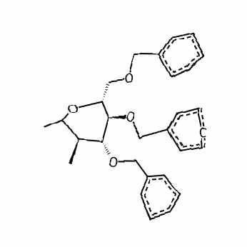 CC1O[C@H](COCc2ccccc2)[C@@H](OCc2ccccc2)[C@H](OCc2ccccc2)[C@H]1C